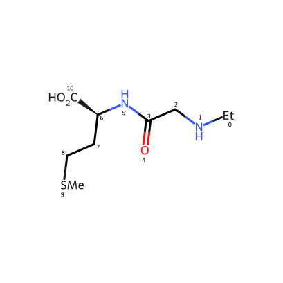 CCNCC(=O)N[C@@H](CCSC)C(=O)O